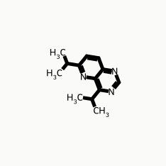 CC(C)c1ccc2ncnc(C(C)C)c2n1